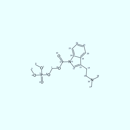 COP(=O)(OC)OCOC(=O)n1cc(CCN(C)C)c2ccccc21